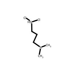 CN(C)CCC[SiH](Cl)Cl